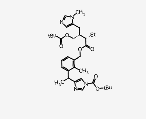 CC[C@H](C(=O)OCc1cccc([C@H](C)c2cn(C(=O)OC(C)(C)C)cn2)c1C)[C@H](COC(=O)C(C)(C)C)Cc1cncn1C